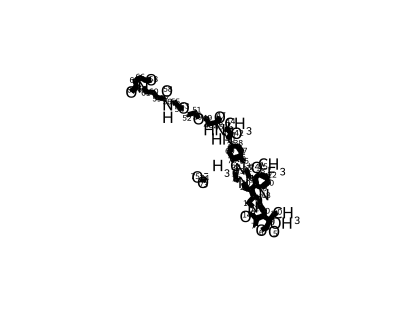 CC[C@@]1(O)C(=O)OCc2c1cc1n(c2=O)Cc2c-1nc1cc(F)c(OC)cc1c2CN1CC[N+](C)(Cc2ccc(NC(=O)[C@H](C)NC(=O)CCOCCOCCNC(=O)CCCN3C(=O)C=CC3=O)cc2)CC1.O=C[O-]